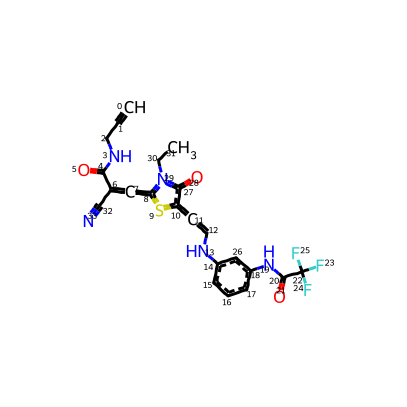 C#CCNC(=O)C(=C=c1sc(=C=CNc2cccc(NC(=O)C(F)(F)F)c2)c(=O)n1CC)C#N